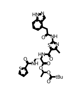 Cc1nc(NC(=O)Cc2cccc3[nH]ncc23)sc1C(=O)N[C@@H](CNC(=O)c1cccs1)C(=O)OC(C)OC(=O)C(C)(C)C